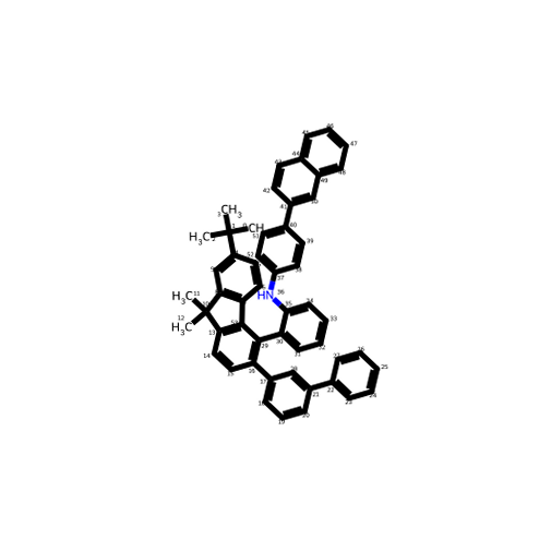 CC(C)(C)c1ccc2c(c1)C(C)(C)c1ccc(-c3cccc(-c4ccccc4)c3)c(-c3ccccc3Nc3ccc(-c4ccc5ccccc5c4)cc3)c1-2